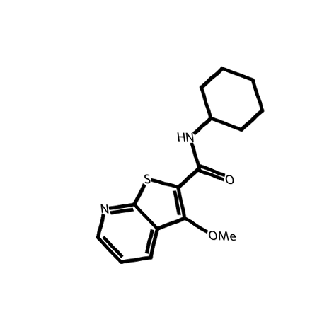 COc1c(C(=O)NC2CCCCC2)sc2ncccc12